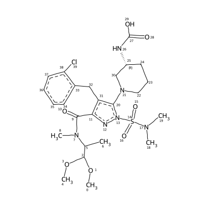 COC(OC)C(C)N(C)C(=O)c1nn(S(=O)(=O)N(C)C)c(N2CCC[C@@H](NC(=O)O)C2)c1Cc1ccccc1Cl